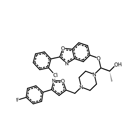 C[C@@H](O)C(Oc1ccc2oc(-c3ccccc3Cl)nc2c1)N1CCN(Cc2cc(-c3ccc(F)cc3)no2)CC1